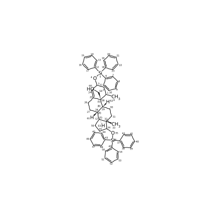 CC1CC(O[Si](c2ccccc2)(c2ccccc2)c2ccccc2)C=C2CC[C@@H]3[C@@H](CC[C@]4(C)C(O[Si](c5ccccc5)(c5ccccc5)c5ccccc5)CC[C@@H]34)[C@]21CO